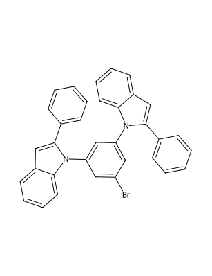 Brc1cc(-n2c(-c3ccccc3)cc3ccccc32)cc(-n2c(-c3ccccc3)cc3ccccc32)c1